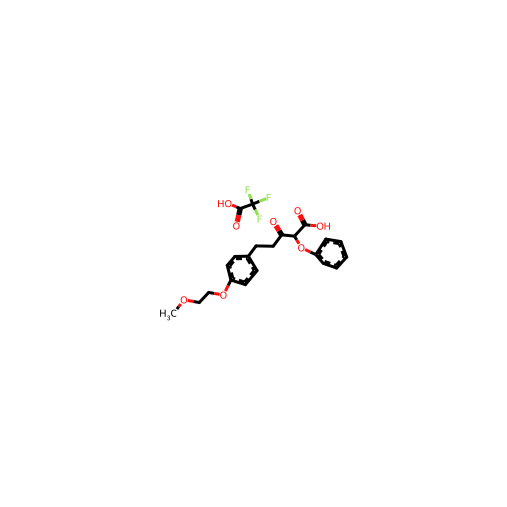 COCCOc1ccc(CCC(=O)C(Oc2ccccc2)C(=O)O)cc1.O=C(O)C(F)(F)F